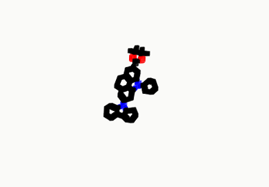 CC1(C)OB(c2cc3c4c5c(cc(-n6c7ccccc7c7ccccc76)cc5n(-c5ccccc5)c4c2)CC3)OC1(C)C